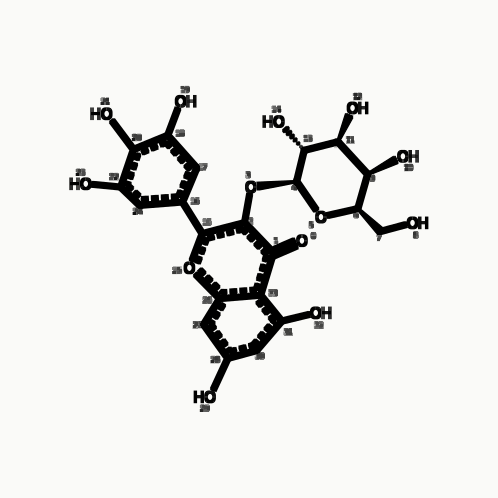 O=c1c(O[C@@H]2O[C@H](CO)[C@H](O)[C@H](O)[C@H]2O)c(-c2cc(O)c(O)c(O)c2)oc2cc(O)cc(O)c12